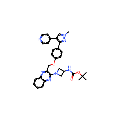 Cn1cc(-c2ccncc2)c(-c2ccc(OCc3nc4ccccc4nc3N3CC(NC(=O)OC(C)(C)C)C3)cc2)n1